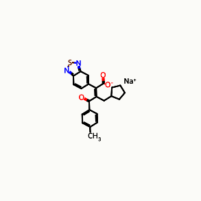 Cc1ccc(C(=O)/C(CC2CCCC2)=C(/C(=O)[O-])c2ccc3nsnc3c2)cc1.[Na+]